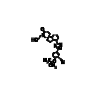 CC(C)Oc1ccc(-c2nc(-c3cccc4c3CC[C@@]43CCC(=O)N(CCO)C3)no2)cc1C#N